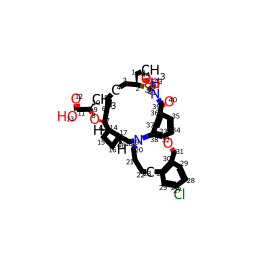 CC[C@@H]1CC/C=C/[C@H](O[C@@H](C)C(=O)O)[C@@H]2CC[C@H]2CN2CCCCc3cc(Cl)ccc3COc3ccc(cc32)C(=O)NS1(=O)=O